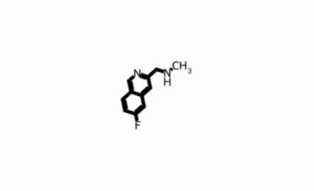 CNCc1cc2cc(F)ccc2cn1